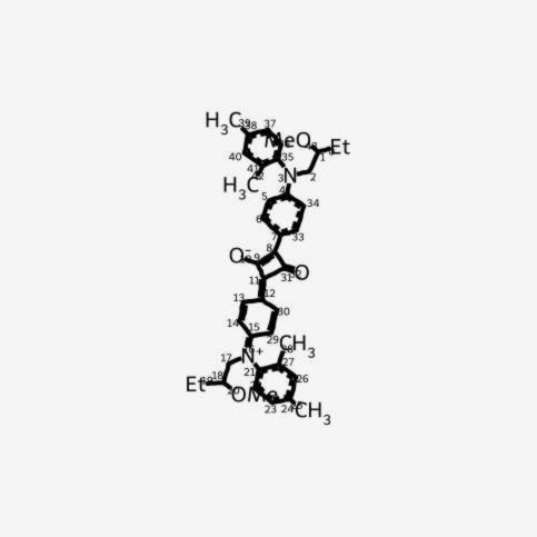 CCC(CN(c1ccc(C2=C([O-])C(=C3C=CC(=[N+](CC(CC)OC)c4ccc(C)cc4C)C=C3)C2=O)cc1)c1ccc(C)cc1C)OC